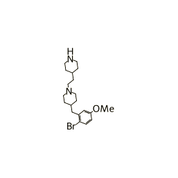 COc1ccc(Br)c(CC2CCN(CCC3CCNCC3)CC2)c1